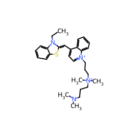 CCN1/C(=C/c2cc[n+](CCC[N+](C)(C)CCCN(C)C)c3ccccc23)Sc2ccccc21